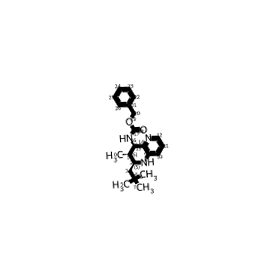 C[C@H]1[C@H](CC(C)(C)C)Nc2cccnc2[C@@H]1NC(=O)OCc1ccccc1